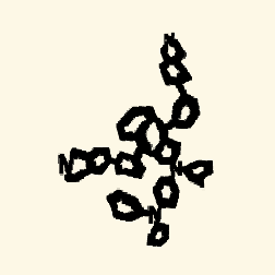 c1ccc(N(c2ccccc2)c2ccc(N(c3ccccc3)c3ccc4c(-c5cccc(-c6ccc7cnccc7c6)c5)c5ccccc5c(-c5cccc(-c6ccc7cnccc7c6)c5)c4c3)cc2)cc1